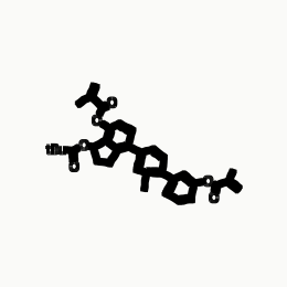 C=C(C)C(=O)Oc1cccc(-c2ccc(-c3ccc(OC(=O)C(=C)C)c4c3CCC4OC(=O)C(C)(C)C)cc2C)c1